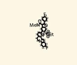 CCS(=O)(=O)Nc1cc2oc(-c3ccc(F)cc3)c(C(=O)NC)c2cc1-c1ccc2c(n1)-c1cc3cc(F)ccc3n1CC2